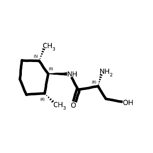 C[C@@H]1CCC[C@H](C)[C@H]1NC(=O)[C@H](N)CO